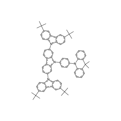 CC(C)(C)c1ccc2c(c1)c1cc(C(C)(C)C)ccc1n2-c1ccc2c3ccc(-n4c5ccc(C(C)(C)C)cc5c5cc(C(C)(C)C)ccc54)cc3n(-c3ccc(N4c5ccccc5C(C)(C)c5ccccc54)cc3)c2c1